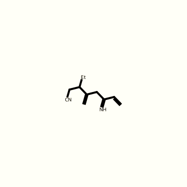 C=CC(=N)CC(=C)C(CC)CC#N